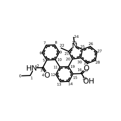 CCNC(=O)c1ccccc1-c1cccc(C(=O)O)c1-c1c(C)n(C)c2ccccc12